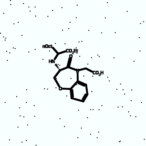 CCCCCCCCC(N[C@H]1COc2ccccc2N(CC(=O)O)C1=O)C(=O)OCC